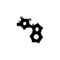 c1ccc2c(c1)ccn2-c1c[nH]nn1